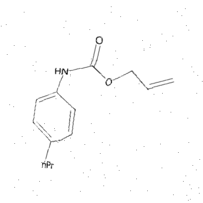 C=CCOC(=O)Nc1ccc(CCC)cc1